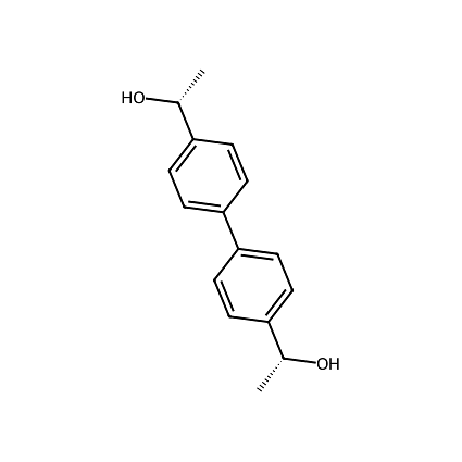 C[C@@H](O)c1ccc(-c2ccc([C@@H](C)O)cc2)cc1